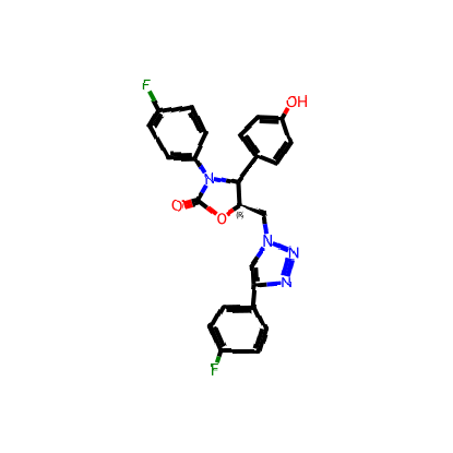 O=C1O[C@H](Cn2cc(-c3ccc(F)cc3)nn2)C(c2ccc(O)cc2)N1c1ccc(F)cc1